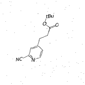 CC(C)(C)OC(=O)CCc1ccnc(C#N)c1